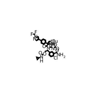 CC(C)(C)CC1(c2ccc(-c3cnn(C(F)F)c3)cc2)NC(=NC(=O)OC(C)(C)C)N(C(COC(=O)NC2CC2)c2ccc(Cl)c(C(N)=O)c2)C1=O